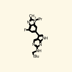 Cc1nc2c(F)cc(-c3c[nH]c4nc(NCC(C)(C)C)ncc34)cc2n1C(C)C